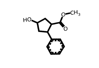 COC(=O)C1CC(O)CC1c1ccccc1